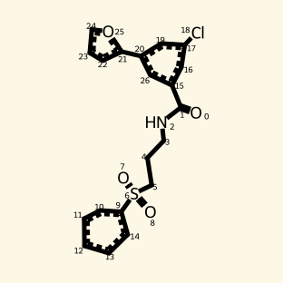 O=C(NCCCS(=O)(=O)c1ccccc1)c1cc(Cl)cc(-c2ccco2)c1